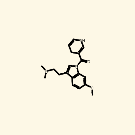 COc1ccc2c(CCN(C)C)cn(C(=O)C3=CNC=CC3)c2c1